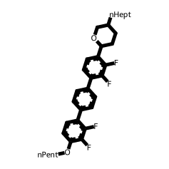 CCCCCCCC1CCC(c2ccc(-c3ccc(-c4ccc(OCCCCC)c(F)c4F)cc3)c(F)c2F)OC1